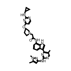 Cc1cnc(Nc2cc(C)n(C)n2)nc1-c1c[nH]c2c(NC(=O)CN3CCC(Oc4ccnc(NC5CC5)n4)C3)cccc12